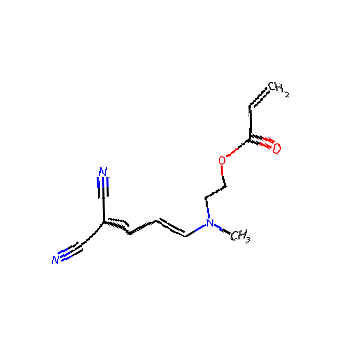 C=CC(=O)OCCN(C)/C=C/C=C(C#N)C#N